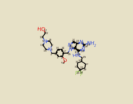 COc1cc(CN2CCN(CCO)CC2)ccc1Cn1ncc2nc(N)nc(NCC3CCC(F)(F)CC3)c21